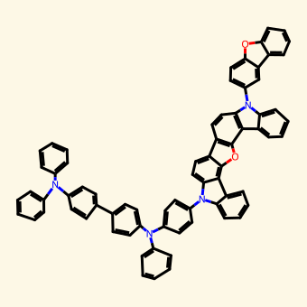 c1ccc(N(c2ccccc2)c2ccc(-c3ccc(N(c4ccccc4)c4ccc(-n5c6ccccc6c6c7oc8c(ccc9c8c8ccccc8n9-c8ccc9oc%10ccccc%10c9c8)c7ccc65)cc4)cc3)cc2)cc1